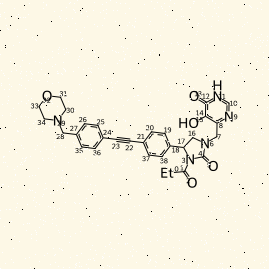 CCC(=O)N1C(=O)N(Cc2nc[nH]c(=O)c2O)CC1c1ccc(C#Cc2ccc(CN3CCOCC3)cc2)cc1